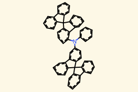 c1ccc(N(c2ccc3c(c2)-c2ccccc2C32c3ccccc3-c3ccccc32)c2cccc3c2-c2ccccc2C32c3ccccc3-c3ccccc32)cc1